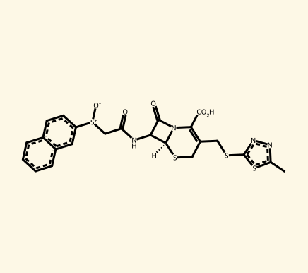 Cc1nnc(SCC2=C(C(=O)O)N3C(=O)C(NC(=O)C[S+]([O-])c4ccc5ccccc5c4)[C@@H]3SC2)s1